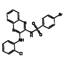 O=S(=O)(Nc1nc2ccccc2nc1Nc1ccccc1Cl)c1ccc(Br)cc1